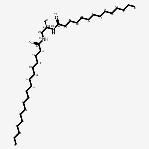 CCCCCCCCCCCCCCCCCC(=O)NC[C@@H](C)NC(=O)CCCCCCCCCCCCC